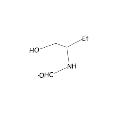 CCC(CO)N[C]=O